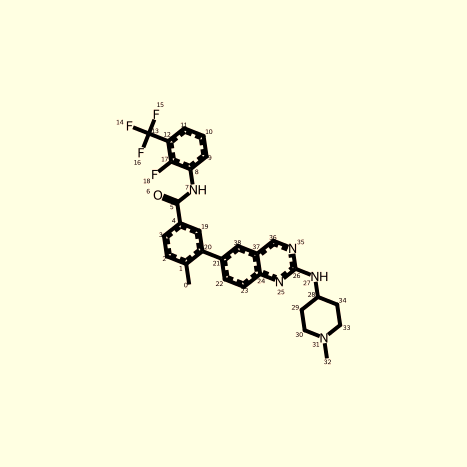 Cc1ccc(C(=O)Nc2cccc(C(F)(F)F)c2F)cc1-c1ccc2nc(NC3CCN(C)CC3)ncc2c1